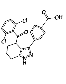 O=C(O)c1ccc(-c2n[nH]c3c2C(C(=O)c2c(Cl)cccc2Cl)CCC3)cc1